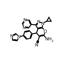 N#CC1=C(N)Oc2c(c(-c3cncnc3)nn2C2CC2)C1c1ccc(-n2ccnc2)cc1